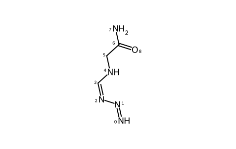 N=N/N=C\NCC(N)=O